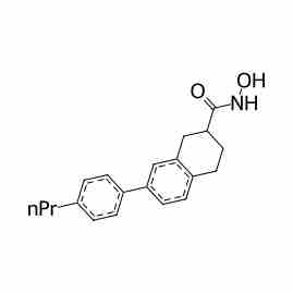 CCCc1ccc(-c2ccc3c(c2)CC(C(=O)NO)CC3)cc1